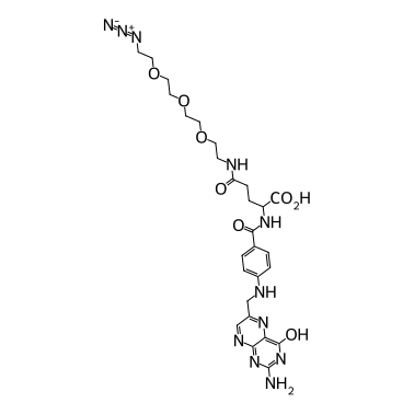 [N-]=[N+]=NCCOCCOCCOCCNC(=O)CCC(NC(=O)c1ccc(NCc2cnc3nc(N)nc(O)c3n2)cc1)C(=O)O